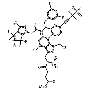 COC(=O)CCC(=O)N(Cc1nn(CC(F)(F)F)c2c(-c3ccc(C#CC(C)(C)S(C)(=O)=O)nc3C(Cc3cc(F)cc(F)c3)NC(=O)Cn3nc(C(F)(F)F)c4c3C(F)(F)[C@@H]3C[C@H]43)ccc(Cl)c12)[SH](=O)=O